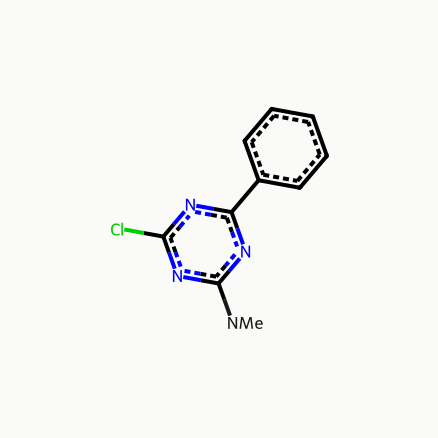 CNc1nc(Cl)nc(-c2ccccc2)n1